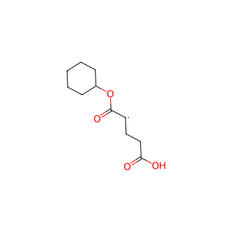 O=C(O)CC[CH]C(=O)OC1CCCCC1